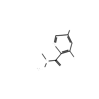 CON(C)C(=O)c1ncc(F)cc1C(F)(F)F